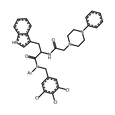 CC(=O)N(Cc1cc(Cl)c(Cl)c(Cl)c1)C(=O)C(Cc1c[nH]c2ccccc12)NC(=O)CN1CCN(c2ccccc2)CC1